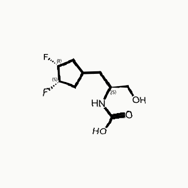 O=C(O)N[C@H](CO)CC1C[C@@H](F)[C@@H](F)C1